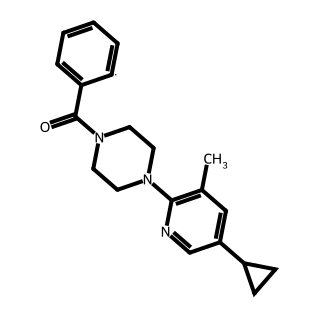 Cc1cc(C2CC2)cnc1N1CCN(C(=O)c2[c]cccc2)CC1